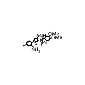 COc1cc2nc(C)nc(NC(C)c3csc(-c4ccc(F)cc4CN)c3)c2cc1OC